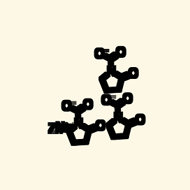 O=C([O-])N1CCCC1=O.O=C([O-])N1CCCC1=O.O=C([O-])N1CCCC1=O.[Na+].[Zn+2]